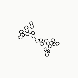 c1ccc2c(-c3cccc4c(-c5cccc6c5oc5ccccc56)c5cccc(-c6cccc7cc(-c8ccc9c(c8)oc8c(-c%10cccc%11c(-c%12cccc%13c%12oc%12ccccc%12%13)c%12cccc(-c%13cccc%14c%13oc%13ccccc%13%14)c%12cc%10%11)cccc89)ccc67)c5cc34)cccc2c1